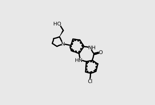 O=C1Nc2ccc(N3CCC[C@H]3CO)cc2Nc2cc(Cl)ccc21